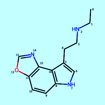 CCNCCc1c[nH]c2ccc3ocnc3c12